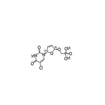 O=c1[nH]c(=O)n([C@H]2C=C[C@@H](OCP(=O)(O)O)O2)cc1Cl